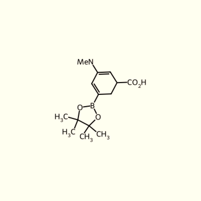 CNC1=CC(C(=O)O)CC(B2OC(C)(C)C(C)(C)O2)=C1